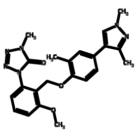 COc1cccc(-n2nnn(C)c2=O)c1COc1ccc(-c2cn(C)nc2C)cc1C